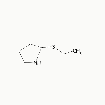 CCSC1CCCN1